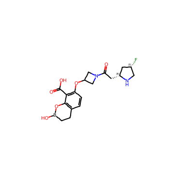 O=C(O)c1c(OC2CN(C(=O)C[C@@H]3C[C@H](F)CN3)C2)ccc2c1OB(O)CC2